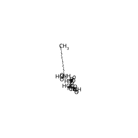 CCC=CCC=CCC=CCC=CCC=CCC=CCCC(=O)NC(CCCCNP(=O)(OC[C@H]1O[C@@H](n2ccc(=O)[nH]c2=O)[C@](C)(F)[C@@H]1O)Oc1ccccc1)C(=O)O